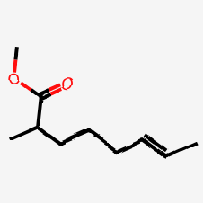 CC=CCCCC(C)C(=O)OC